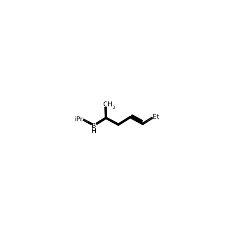 CCC=CCC(C)BC(C)C